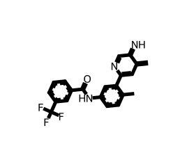 C=C1C=C(c2cc(NC(=O)c3cccc(C(F)(F)F)c3)ccc2C)N=CC1=N